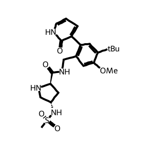 COc1cc(CNC(=O)[C@H]2C[C@H](NS(C)(=O)=O)CN2)c(-c2ccc[nH]c2=O)cc1C(C)(C)C